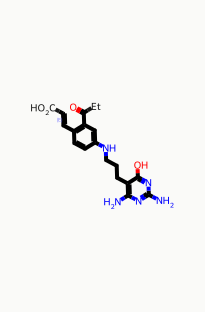 CCC(=O)c1cc(NCCCc2c(N)nc(N)nc2O)ccc1/C=C/C(=O)O